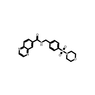 O=C(NCc1ccc(S(=O)(=O)N2CCOCC2)cc1)c1ccc2nccnc2c1